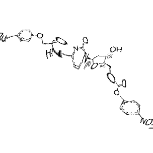 CC(C)(C)c1ccc(OCC(=O)Nc2ccn([C@H]3C[C@H](O)[C@@H](COC(=O)Oc4ccc([N+](=O)[O-])cc4)O3)c(=O)n2)cc1